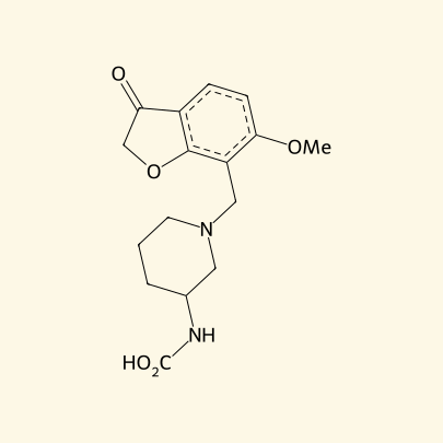 COc1ccc2c(c1CN1CCCC(NC(=O)O)C1)OCC2=O